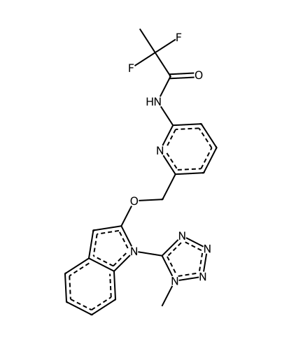 Cn1nnnc1-n1c(OCc2cccc(NC(=O)C(C)(F)F)n2)cc2ccccc21